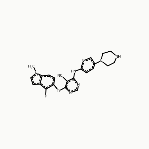 Cn1ccc2c(F)c(Oc3ncnc(Nc4ccc(N5CCNCC5)cn4)c3C#N)ccc21